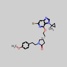 COc1ccc(CCN2C[C@H](CCOc3nc(Br)cc4ncn(C5(C)CC5)c34)CC2=O)cc1